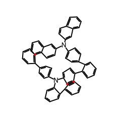 c1ccc(-c2ccc(N(c3ccc(-c4ccccc4-c4ccc(N(c5ccc6ccccc6c5)c5ccc6ccccc6c5)cc4)cc3)c3ccccc3-c3ccccc3)cc2)cc1